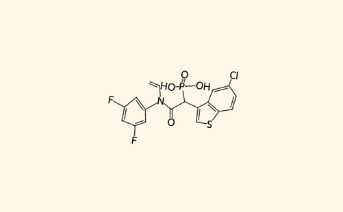 C=CN(C(=O)C(c1csc2ccc(Cl)cc12)P(=O)(O)O)c1cc(F)cc(F)c1